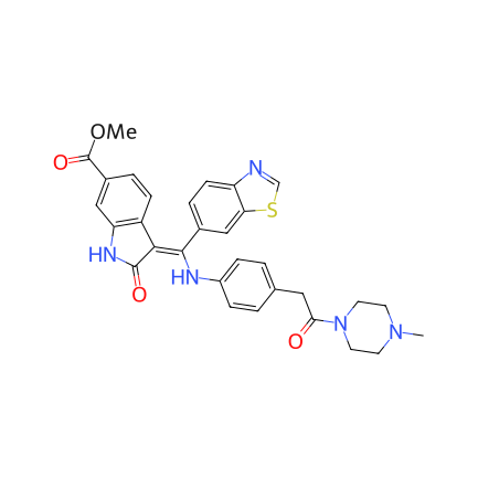 COC(=O)c1ccc2c(c1)NC(=O)/C2=C(\Nc1ccc(CC(=O)N2CCN(C)CC2)cc1)c1ccc2ncsc2c1